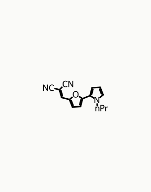 CCCn1cccc1-c1ccc(C=C(C#N)C#N)o1